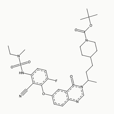 CCN(C)S(=O)(=O)Nc1ccc(F)c(Oc2ccc3ncn(C(C)CCC4CCN(C(=O)OC(C)(C)C)CC4)c(=O)c3c2)c1C#N